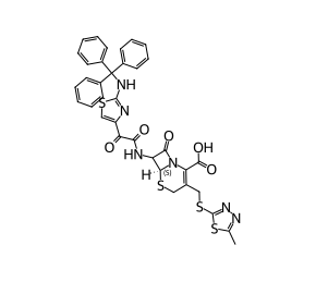 Cc1nnc(SCC2=C(C(=O)O)N3C(=O)C(NC(=O)C(=O)c4csc(NC(c5ccccc5)(c5ccccc5)c5ccccc5)n4)[C@@H]3SC2)s1